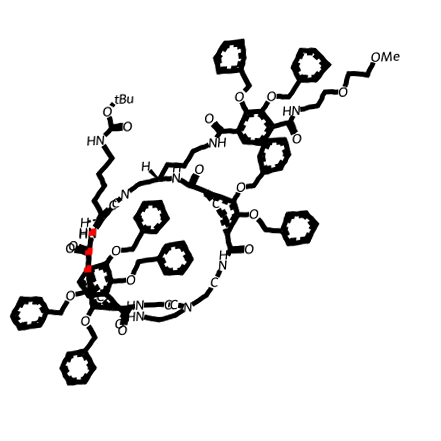 COCCOCCNC(=O)c1ccc(C(=O)NCCC[C@H]2CN3CCNC(=O)c4ccc(c(OCc5ccccc5)c4OCc4ccccc4)C(=O)NCCN(CCNC(=O)c4ccc(c(OCc5ccccc5)c4OCc4ccccc4)C(=O)N[C@@H](CCCCNC(=O)OC(C)(C)C)C3)CCNC(=O)c3ccc(c(OCc4ccccc4)c3OCc3ccccc3)C(=O)N2)c(OCc2ccccc2)c1OCc1ccccc1